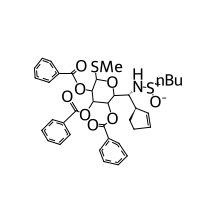 CCCC[S+]([O-])N[C@@H](C1OC(SC)C(OC(=O)c2ccccc2)C(OC(=O)c2ccccc2)C1OC(=O)c1ccccc1)[C@H]1C=CCC1